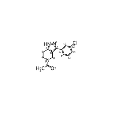 CC(=O)N1CCc2[nH]nc(-c3cccc(Cl)c3)c2C1